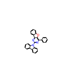 c1ccc(-c2nc(-n3c4ccccc4c4ccccc43)nc3c2oc2ccccc23)cc1